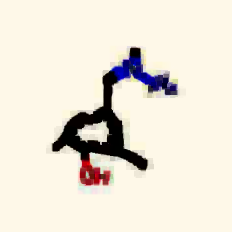 Cc1cc(CN(C)N)cc(C)c1O